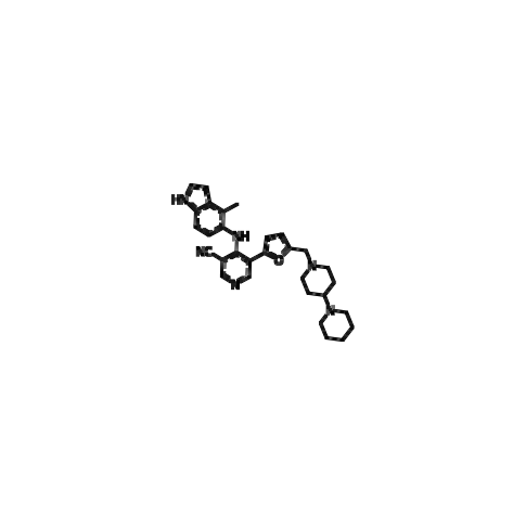 Cc1c(Nc2c(C#N)cncc2-c2ccc(CN3CCC(N4CCCCC4)CC3)o2)ccc2[nH]ccc12